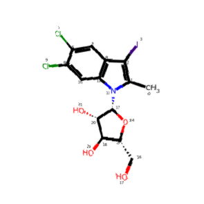 Cc1c(I)c2cc(Cl)c(Cl)cc2n1[C@@H]1O[C@H](CO)C(O)[C@@H]1O